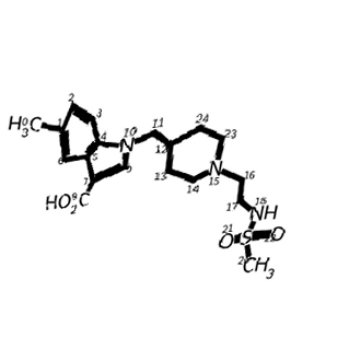 Cc1ccc2c(c1)c(C(=O)O)cn2CC1CCN(CCNS(C)(=O)=O)CC1